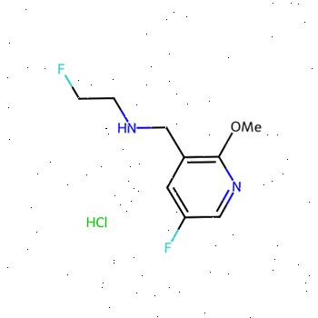 COc1ncc(F)cc1CNCCF.Cl